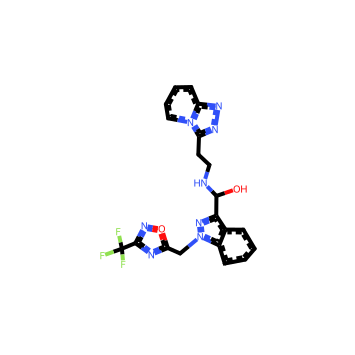 OC(NCCc1nnc2ccccn12)c1nn(Cc2nc(C(F)(F)F)no2)c2ccccc12